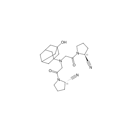 N#C[C@@H]1CCCN1C(=O)CN(CC(=O)N1CCC[C@H]1C#N)C12CC3CC(CC(O)(C3)C1)C2